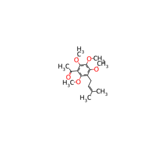 COc1c(CC=C(C)C)c(OC)c(C(C)=O)c(OC)c1OC